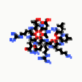 CC(=O)N[C@@H](CC(=O)O)C(=O)N[C@H](C(=O)N[C@@H](CCCNC(=N)N)C(=O)N[C@@H](CCC(N)=O)C(=O)N[C@@H](CCC(N)=O)C(=O)N[C@@H](CCCNC(=N)N)C(=O)N[C@@H](CCCCN)C(=O)N[C@@H](CC(C)C)C(=O)N[C@@H](CC(C)C)C(N)=O)[C@@H](C)O